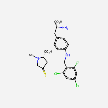 CC(=O)N1CC(=S)C[C@H]1C(=O)O.N[C@@H](Cc1ccc(NCc2c(Cl)cc(Cl)cc2Cl)cc1)C(=O)O